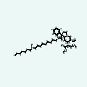 CCCCCCCNCCCCCCCCCN1C(=O)[C@]2(CCN3C[C@H](CC)[C@@H](/C(=C\OC)C(=O)OC)CC32)c2ccccc21